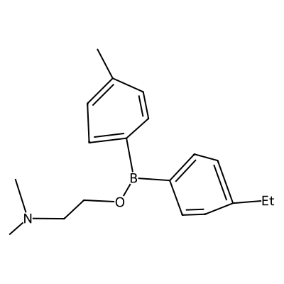 CCc1ccc(B(OCCN(C)C)c2ccc(C)cc2)cc1